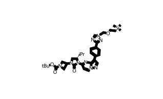 CC(C)[C@H]1CN(C2CN(C(=O)OC(C)(C)C)C2)C(=O)N1c1ccn2ncc(-c3ccc(-c4ncn(COCC[Si](C)(C)C)n4)cc3)c2n1